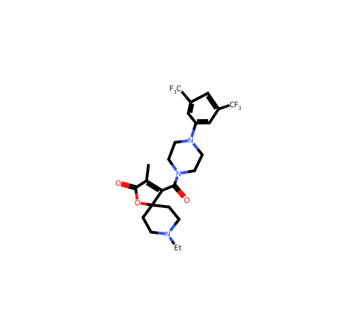 CCN1CCC2(CC1)OC(=O)C(C)=C2C(=O)N1CCN(c2cc(C(F)(F)F)cc(C(F)(F)F)c2)CC1